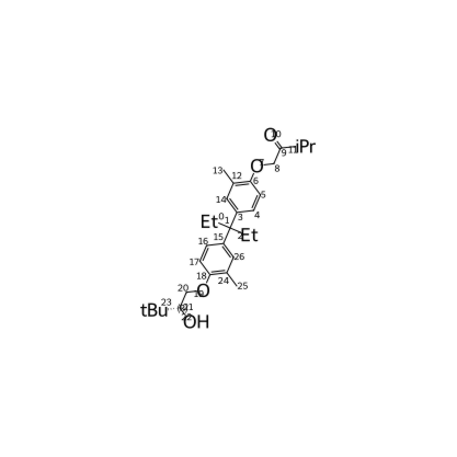 CCC(CC)(c1ccc(OCC(=O)C(C)C)c(C)c1)c1ccc(OC[C@H](O)C(C)(C)C)c(C)c1